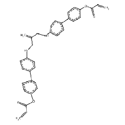 C=CC(=O)Oc1ccc(-c2ccc(NCC(=C)CNc3ccc(-c4ccc(OC(=O)C=C)cc4)cc3)cc2)cc1